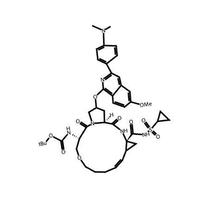 COc1ccc2c(OC3C[C@H]4C(=O)N[C@]5(C(=O)NS(=O)(=O)C6CC6)CC5/C=C\CCCOC[C@H](NC(=O)OC(C)(C)C)C(=O)N4C3)nc(-c3ccc(N(C)C)cc3)cc2c1